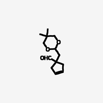 CC1(C)COC(CC2(C=O)CC=CC2)OC1